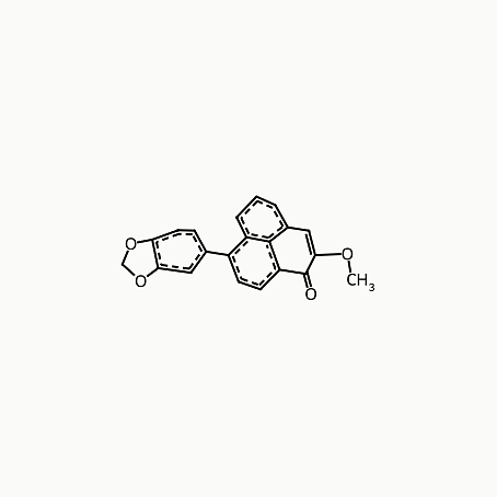 COC1=Cc2cccc3c(-c4ccc5c(c4)OCO5)ccc(c23)C1=O